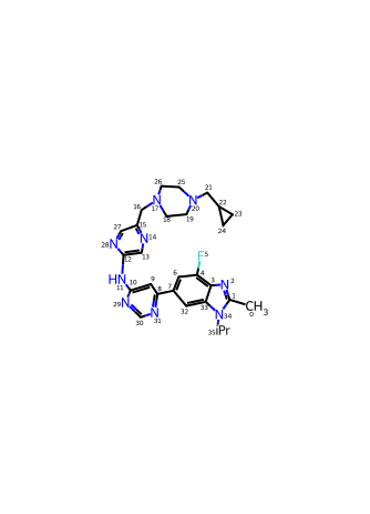 Cc1nc2c(F)cc(-c3cc(Nc4cnc(CN5CCN(CC6CC6)CC5)cn4)ncn3)cc2n1C(C)C